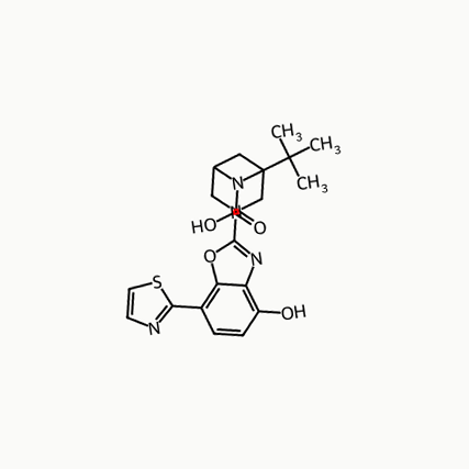 CC(C)(C)C12CC(CN(c3nc4c(O)ccc(-c5nccs5)c4o3)C1)N2C(=O)O